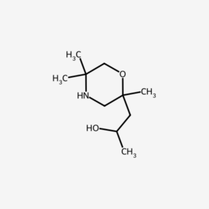 CC(O)CC1(C)CNC(C)(C)CO1